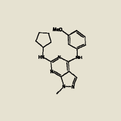 COc1cccc(Nc2nc(NC3CCCC3)nc3c2cnn3C)c1